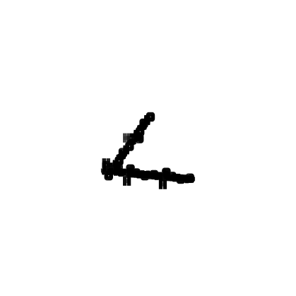 CNC(=O)[C@H](CCCCNC(=O)COCCOCCOCCNC(=O)COCCOCCOC)NC(=O)COCCOCCOCCNC(=O)COCCOCCOC